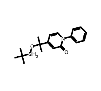 CC(C)(C)[SiH2]OC(C)(C)c1ccn(-c2ccccc2)c(=O)c1